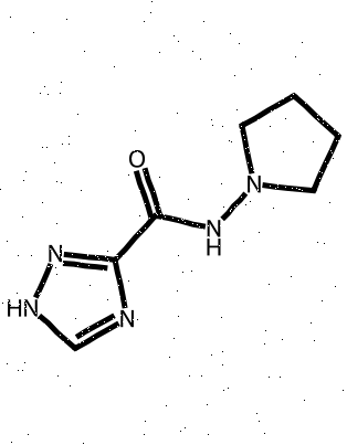 O=C(NN1CCCC1)c1nc[nH]n1